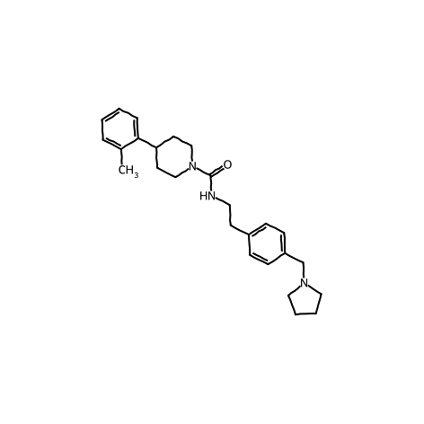 Cc1ccccc1C1CCN(C(=O)NCCc2ccc(CN3CCCC3)cc2)CC1